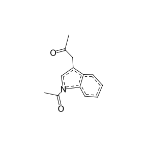 CC(=O)Cc1cn(C(C)=O)c2ccccc12